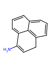 NC1=CCc2cccc3cccc1c23